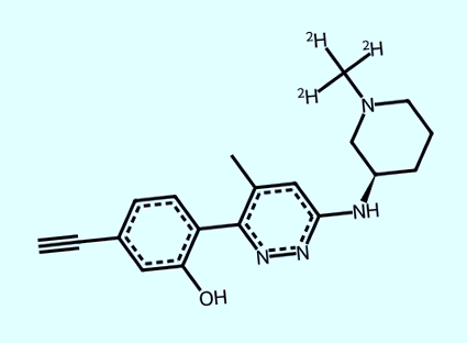 [2H]C([2H])([2H])N1CCC[C@@H](Nc2cc(C)c(-c3ccc(C#C)cc3O)nn2)C1